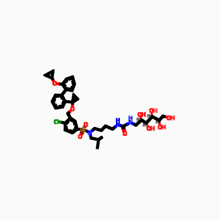 CC(C)CN(CCCCNC(=O)NC[C@H](O)[C@@H](O)[C@H](O)[C@H](O)CO)S(=O)(=O)c1ccc(Cl)c(COC2(c3ccccc3-c3ccccc3OC3CC3)CC2)c1